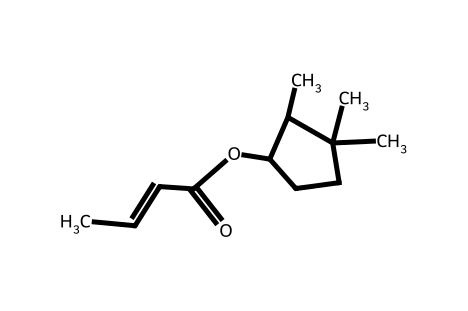 CC=CC(=O)OC1CCC(C)(C)C1C